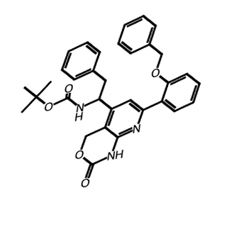 CC(C)(C)OC(=O)NC(Cc1ccccc1)c1cc(-c2ccccc2OCc2ccccc2)nc2c1COC(=O)N2